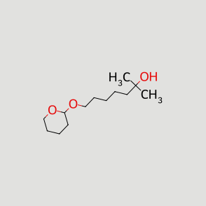 CC(C)(O)CCCCCOC1CCCCO1